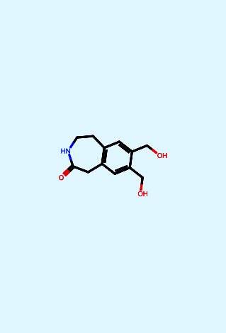 O=C1Cc2cc(CO)c(CO)cc2CCN1